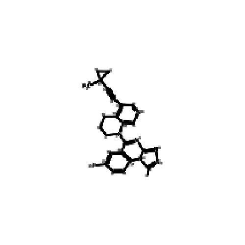 Cc1nnc2nc(N3CCCc4c(C#CC5(C(F)(F)F)CC5)cncc43)c3cc(F)ccc3n12